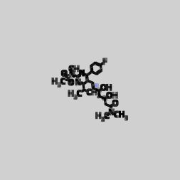 CC(C)c1nc(N(C)S(C)(=O)=O)nc(-c2ccc(F)cc2)c1/C=C/[C@@H](O)C[C@@H](O)CC(=O)N(C)C